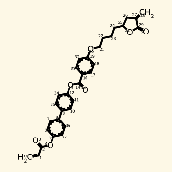 C=CC(=O)Oc1ccc(-c2ccc(OC(=O)c3ccc(OCCCCC4CC(=C)C(=O)O4)cc3)cc2)cc1